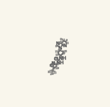 Cc1ccnc2c1ncn2-c1ccc(NC(=O)Nc2cc(C(C)(C)C)on2)cc1